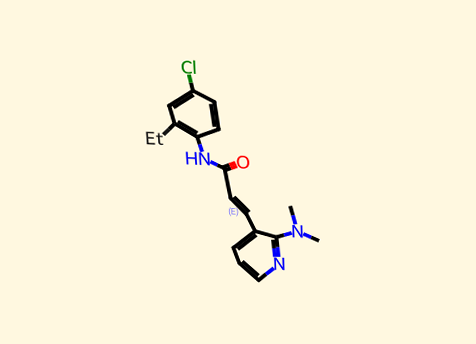 CCc1cc(Cl)ccc1NC(=O)/C=C/c1cccnc1N(C)C